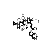 Cc1nn2c(O)c(C(=O)NC3CC3)c(=O)n(CC(C)C)c2c1C=CC(=O)N1CCc2cncnc21